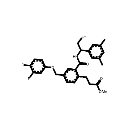 COC(=O)CCc1ccc(COc2ccc(F)c(F)c2)cc1C(=O)NC(CC(C)C)c1cc(C)cc(C)c1